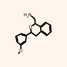 COc1cccc(C2Cc3ccccc3C(CN)O2)c1